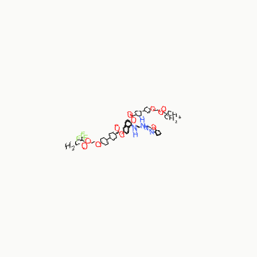 C=C(C)C(=O)OCCOC1CCC(C2CCC(C(=O)Oc3ccc4cc(OC(=O)C5CCC(C6CCC(OCCOC(=O)C(=C)C(F)(F)F)CC6)CC5)ccc4c3N/C=C/N/N=C/c3nc4ccccc4o3)CC2)CC1